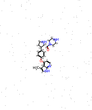 Cc1c[nH]c2nccc(Oc3ccc(C4CCN[C@@H]4C(=O)N4CCNCC4)cc3)c12